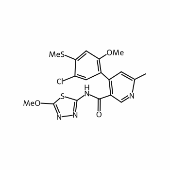 COc1nnc(NC(=O)c2cnc(C)cc2-c2cc(Cl)c(SC)cc2OC)s1